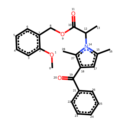 COc1ccccc1COC(=O)C(C)n1c(C)cc(C(=O)c2ccccc2)c1C